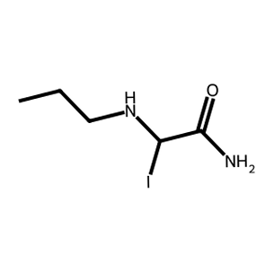 CCCNC(I)C(N)=O